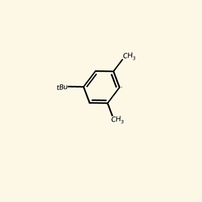 Cc1[c]c(C)cc(C(C)(C)C)c1